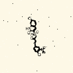 O=C(C=Cc1ccc(Cl)c([N+](=O)[O-])c1)CS(=O)(=O)c1cc2ccc(Cl)cc2[nH]c1=O